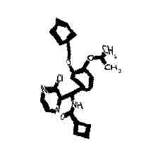 CC(C)Oc1ccc(C(NC(=O)C2CCC2)c2nccnc2Cl)cc1OCc1ccccc1